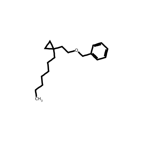 CCCCCCCC1(CCOCc2ccccc2)CC1